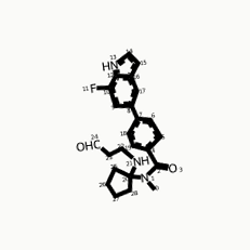 CN(C(=O)c1ccc(-c2cc(F)c3[nH]ccc3c2)cc1)C1(NCCC=O)CCCC1